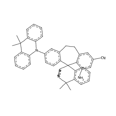 CC1(C)c2ccccc2N(c2ccc3c(c2)CCc2cc(C#N)cc(N)c2C32c3ccccc3C(C)(C)c3ccccc32)c2ccccc21